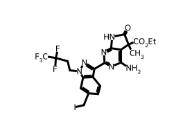 CCOC(=O)C1(C)C(=O)Nc2nc(-c3nn(CCC(F)(F)C(F)(F)F)c4cc(CI)ccc34)nc(N)c21